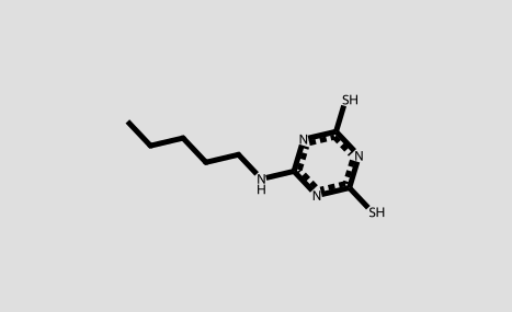 CCCCCNc1nc(S)nc(S)n1